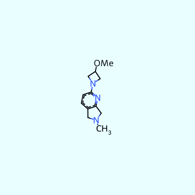 COC1CN(c2ccc3c(n2)CN(C)C3)C1